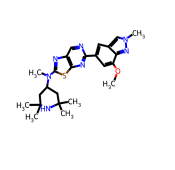 COc1cc(-c2ncc3nc(N(C)C4CC(C)(C)NC(C)(C)C4)sc3n2)cc2cn(C)nc12